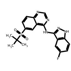 CC(C)(C)S(=O)(=O)c1ccc2ncnc(Nc3n[nH]c4ccc(F)cc34)c2c1